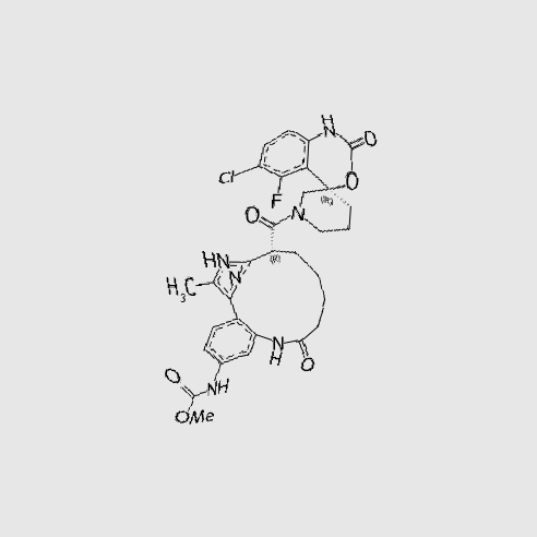 COC(=O)Nc1ccc2c(c1)NC(=O)CCCC[C@@H](C(=O)N1CCC[C@@]3(C1)OC(=O)Nc1ccc(Cl)c(F)c13)c1nc-2c(C)[nH]1